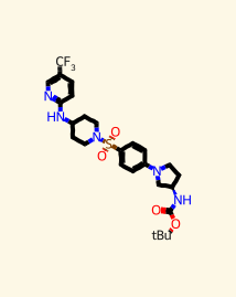 CC(C)(C)OC(=O)N[C@@H]1CCN(c2ccc(S(=O)(=O)N3CCC(Nc4ccc(C(F)(F)F)cn4)CC3)cc2)C1